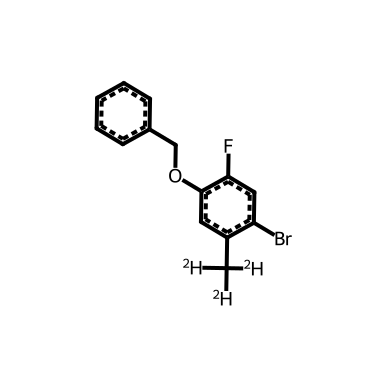 [2H]C([2H])([2H])c1cc(OCc2ccccc2)c(F)cc1Br